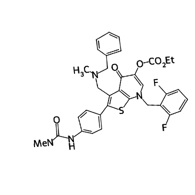 CCOC(=O)Oc1cn(Cc2c(F)cccc2F)c2sc(-c3ccc(NC(=O)NC)cc3)c(CN(C)Cc3ccccc3)c2c1=O